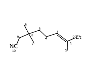 CC/C(C)=C/CCC(C)(C)CC#N